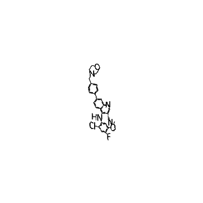 COc1cc(Nc2c(C#N)cnc3cc(-c4ccc(CN5CCOCC5)cc4)ccc23)c(Cl)cc1F